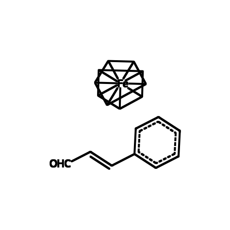 O=CC=Cc1ccccc1.[CH]12[CH]3[CH]4[CH]5[CH]1[Fe]23451678[CH]2[CH]1[CH]6[CH]7[CH]28